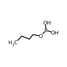 CCCCOB(O)O